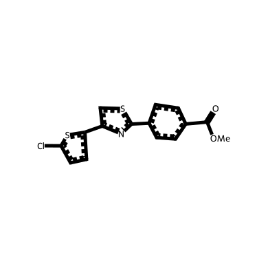 COC(=O)c1ccc(-c2nc(-c3ccc(Cl)s3)cs2)cc1